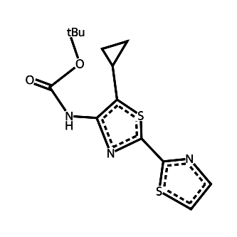 CC(C)(C)OC(=O)Nc1nc(-c2nccs2)sc1C1CC1